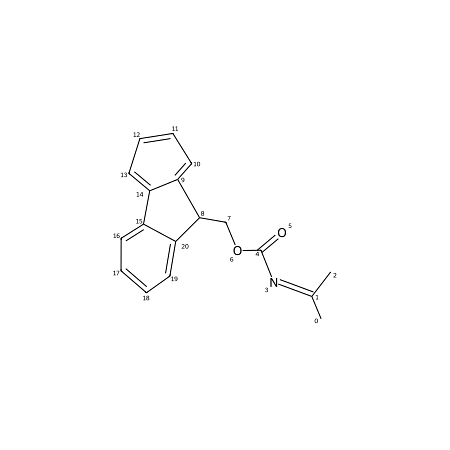 CC(C)=NC(=O)OCC1c2ccccc2-c2ccccc21